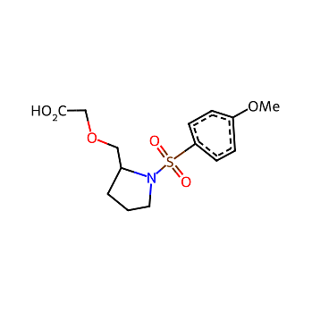 COc1ccc(S(=O)(=O)N2CCCC2COCC(=O)O)cc1